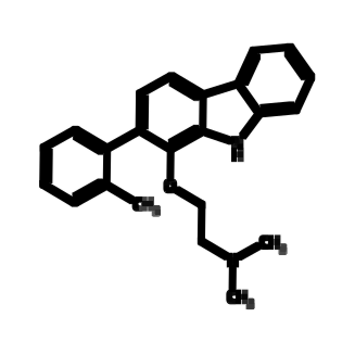 Cc1ccccc1-c1ccc2c([nH]c3ccccc32)c1OCCN(C)C